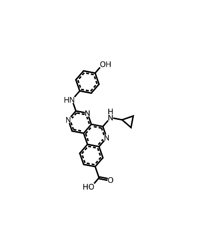 O=C(O)c1ccc2c(c1)nc(NC1CC1)c1nc(Nc3ccc(O)cc3)ncc12